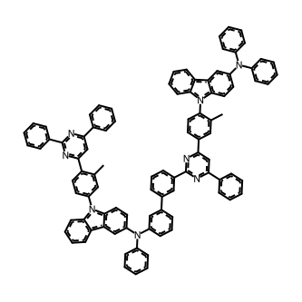 Cc1cc(-n2c3ccccc3c3cc(N(c4ccccc4)c4cccc(-c5cccc(-c6nc(-c7ccccc7)cc(-c7ccc(-n8c9ccccc9c9cc(N(c%10ccccc%10)c%10ccccc%10)ccc98)c(C)c7)n6)c5)c4)ccc32)ccc1-c1cc(-c2ccccc2)nc(-c2ccccc2)n1